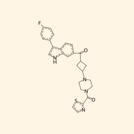 O=C(c1ccc2c(-c3ccc(F)cc3)c[nH]c2c1)C1CC(N2CCN(C(=O)c3nccs3)CC2)C1